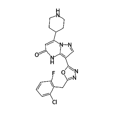 O=c1cc(C2CCNCC2)n2ncc(-c3nnc(Cc4c(F)cccc4Cl)o3)c2[nH]1